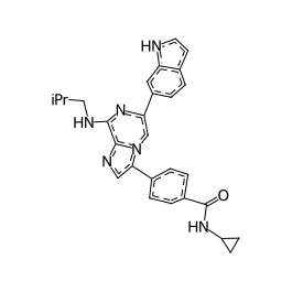 CC(C)CNc1nc(-c2ccc3cc[nH]c3c2)cn2c(-c3ccc(C(=O)NC4CC4)cc3)cnc12